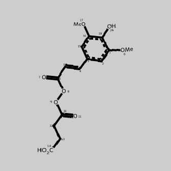 COc1cc(C=CC(=O)OOC(=O)CCC(=O)O)cc(OC)c1O